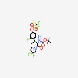 CC(c1ccc(OS(=O)(=O)C(F)(F)F)cc1F)C(NC(=O)OC(C)(C)C)C(=O)N1CCC(F)(F)C1